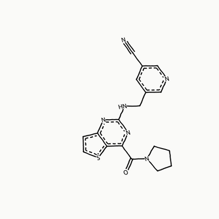 N#Cc1cncc(CNc2nc(C(=O)N3CCCC3)c3sccc3n2)c1